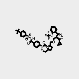 CCC1CCC(COCc2c(-c3ccccc3OC(F)(F)F)noc2C2CC2)N1C(=O)Nc1ccc(C(=O)NS(=O)(=O)c2ccc(C(C)(C)C)cc2)cc1